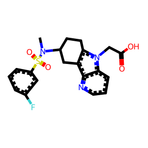 CN(C1CCc2c(c3ncccc3n2CC(=O)O)C1)S(=O)(=O)c1cccc(F)c1